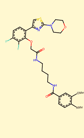 CNc1ccc(C(=O)NCCCCNC(=O)COc2c(-c3csc(N4CCOCC4)n3)ccc(F)c2F)cc1OC